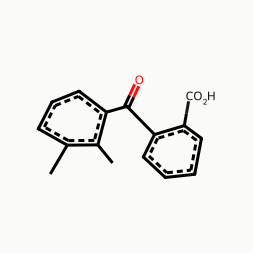 Cc1cccc(C(=O)c2ccccc2C(=O)O)c1C